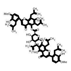 C=C(C)Cc1c(-c2cc(=O)c3c(O)c(CC(=C)C)c(O[C@@H]4O[C@H](C(=O)Oc5c(CC(=C)C)c(O)c(CC(=C)C)c6oc(-c7ccc(OC)c(O)c7CC(=C)C)cc(=O)c56)[C@@H](O)[C@H](O)[C@H]4O)c(CC(=C)C)c3o2)ccc(OC)c1O